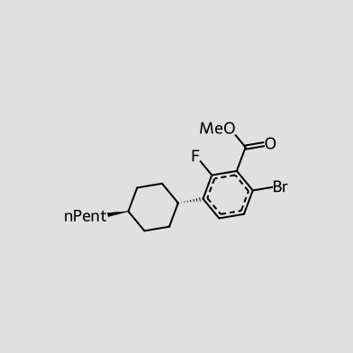 CCCCC[C@H]1CC[C@H](c2ccc(Br)c(C(=O)OC)c2F)CC1